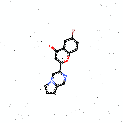 O=c1cc(-c2cn3cccc3cn2)oc2ccc(Br)cc12